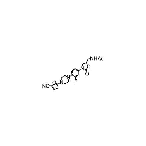 CC(=O)NCC1CN(c2ccc(N3CCN(c4ccc(C#N)o4)CC3)c(F)c2)C(=O)O1